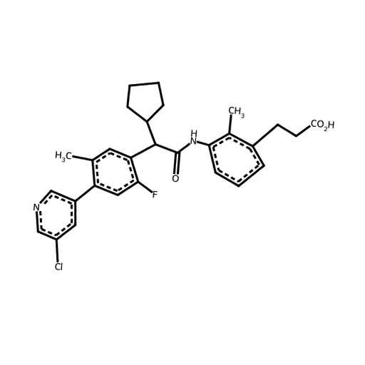 Cc1cc(C(C(=O)Nc2cccc(CCC(=O)O)c2C)C2CCCC2)c(F)cc1-c1cncc(Cl)c1